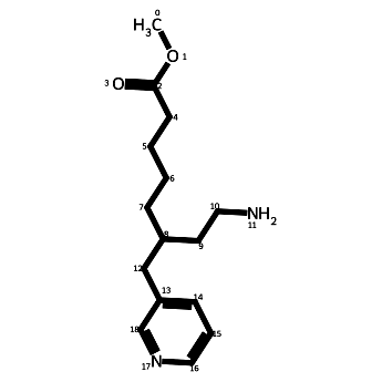 COC(=O)CCCCC(CCN)Cc1cccnc1